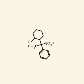 O=C(O)C(c1ccccc1)(C1CCCCC1Cl)S(=O)(=O)O